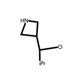 CC(C)C([O])C1CNC1